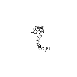 CCOC(=O)N1CC2(CC[C@@H](N3CCN(c4ncc(F)cc4-c4ccc(C)nc4OC)CC3)C2)C1